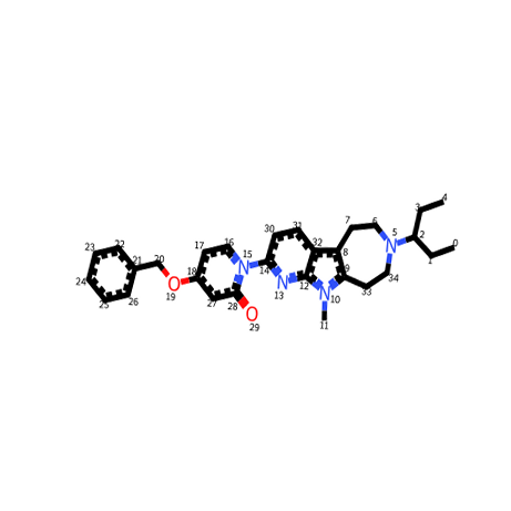 CCC(CC)N1CCc2c(n(C)c3nc(-n4ccc(OCc5ccccc5)cc4=O)ccc23)CC1